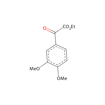 CCOC(=O)C(=O)c1ccc(OC)c(OC)c1